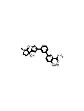 COc1ccc(-c2cccc(-c3cc(C4(O)CCN(C)C4=O)on3)c2)nc1C(N)=O